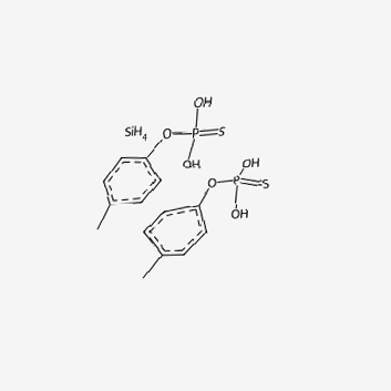 Cc1ccc(OP(O)(O)=S)cc1.Cc1ccc(OP(O)(O)=S)cc1.[SiH4]